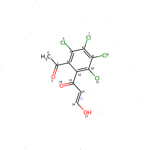 CC(=O)c1c(Cl)c(Cl)c(Cl)c(Cl)c1C(=O)/C=C/O